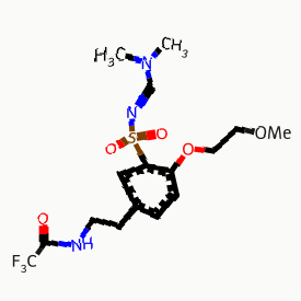 COCCOc1ccc(CCNC(=O)C(F)(F)F)cc1S(=O)(=O)N=CN(C)C